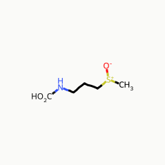 C[S+]([O-])CCCNC(=O)O